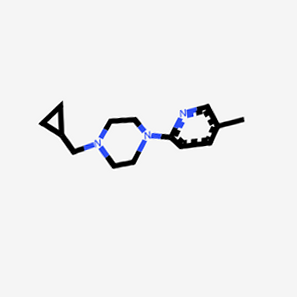 Cc1ccc(N2CCN(CC3CC3)CC2)nc1